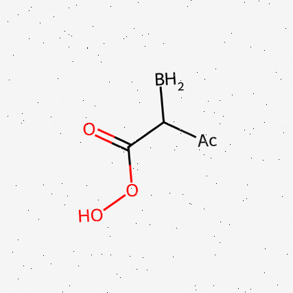 BC(C(C)=O)C(=O)OO